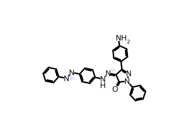 Nc1ccc(C2=NN(c3ccccc3)C(=O)/C2=N\Nc2ccc(/N=N/c3ccccc3)cc2)cc1